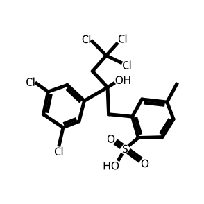 Cc1ccc(S(=O)(=O)O)c(CC(O)(CC(Cl)(Cl)Cl)c2cc(Cl)cc(Cl)c2)c1